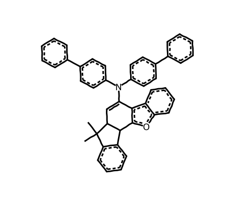 CC1(C)c2ccccc2C2c3oc4ccccc4c3C(N(c3ccc(-c4ccccc4)cc3)c3ccc(-c4ccccc4)cc3)=CC21